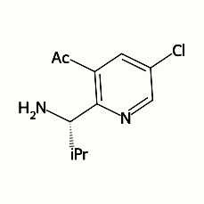 CC(=O)c1cc(Cl)cnc1[C@@H](N)C(C)C